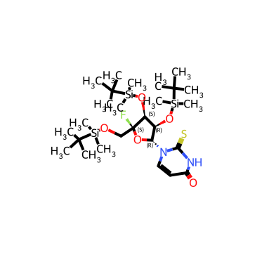 CC(C)(C)[Si](C)(C)OC[C@@]1(F)O[C@@H](n2ccc(=O)[nH]c2=S)[C@H](O[Si](C)(C)C(C)(C)C)[C@@H]1O[Si](C)(C)C(C)(C)C